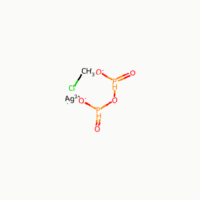 CCl.O=[PH]([O-])O[PH](=O)[O-].[Ag+2]